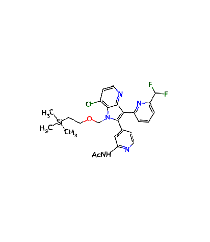 CC(=O)Nc1cc(-c2c(-c3cccc(C(F)F)n3)c3nccc(Cl)c3n2COCC[Si](C)(C)C)ccn1